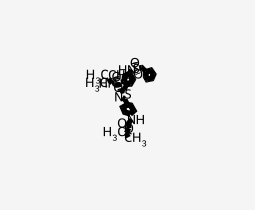 CC(C)OC(=O)Nc1ccc(-c2ncc(-c3ccc(NS(=O)(=O)Cc4ccccc4)cc3S(=O)(=O)NC(C)(C)C)s2)cc1